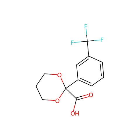 O=C(O)C1(c2cccc(C(F)(F)F)c2)OCCCO1